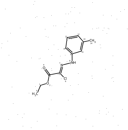 CCOC(=O)/C(Cl)=N/Nc1cccc(C)c1